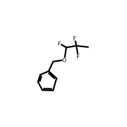 CC(F)(F)[C](F)OCc1ccccc1